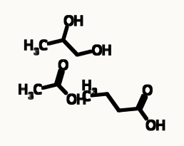 CC(=O)O.CC(O)CO.CCCC(=O)O